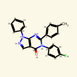 Cc1ccc(-c2nc3c(cnn3-c3ccccc3)c(=O)n2-c2ccc(F)cc2)cc1